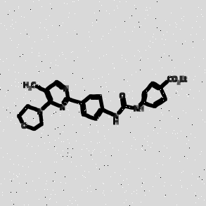 CCOC(=O)c1ccc(NC(=O)Nc2ccc(-c3ncc(C)c(N4CCOCC4)n3)cc2)cc1